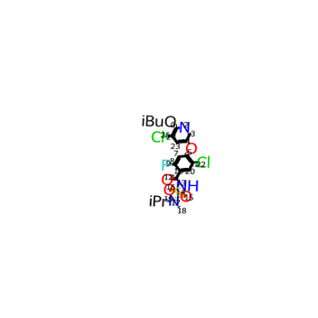 CC(C)COc1ncc(Oc2cc(F)c(C(=O)NS(=O)(=O)N(C)C(C)C)cc2Cl)cc1Cl